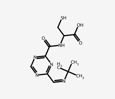 CC(C)(C)/N=C\c1ncnc(C(=O)NC(CS)C(=O)O)n1